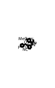 COc1cc2ncc3c(c(-c4ccc(C#N)cc4)nn3C)c2cc1OC(C(=O)Cl)c1ccc(F)cc1